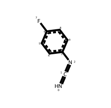 N=C=Nc1ccc(F)cc1